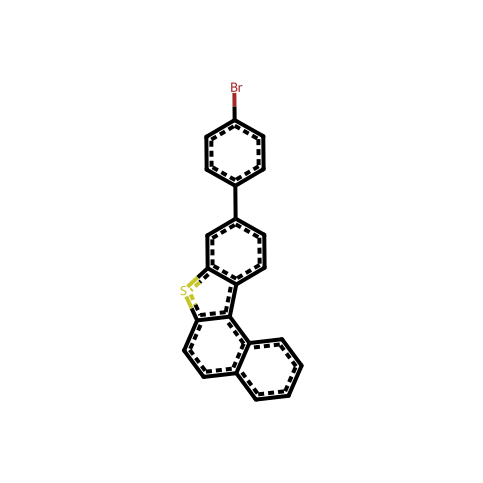 Brc1ccc(-c2ccc3c(c2)sc2ccc4ccccc4c23)cc1